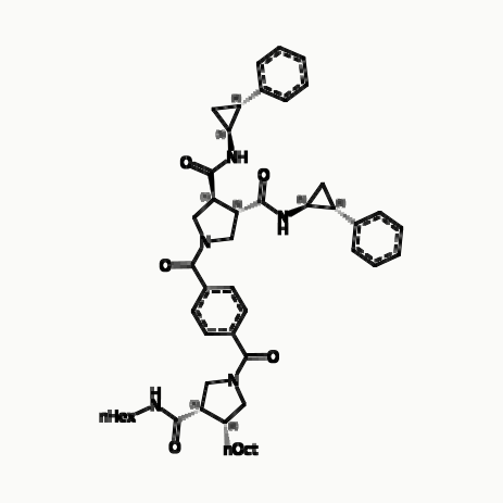 CCCCCCCC[C@H]1CN(C(=O)c2ccc(C(=O)N3C[C@@H](C(=O)N[C@H]4C[C@@H]4c4ccccc4)[C@H](C(=O)N[C@H]4C[C@@H]4c4ccccc4)C3)cc2)C[C@H]1C(=O)NCCCCCC